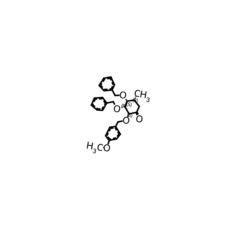 COc1ccc(CO[C@@H]2C(=O)C[C@@H](C)[C@H](OCc3ccccc3)[C@H]2OCc2ccccc2)cc1